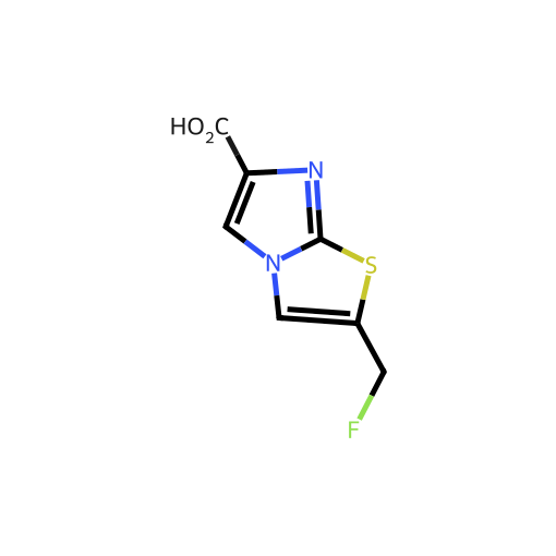 O=C(O)c1cn2cc(CF)sc2n1